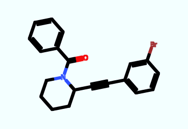 O=C(c1ccccc1)N1CCCCC1C#Cc1cccc(Br)c1